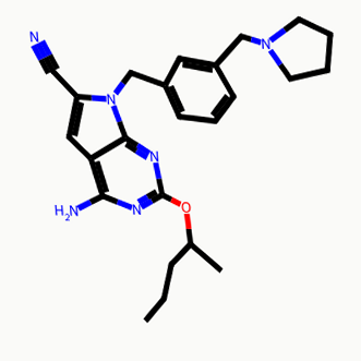 CCCC(C)Oc1nc(N)c2cc(C#N)n(Cc3cccc(CN4CCCC4)c3)c2n1